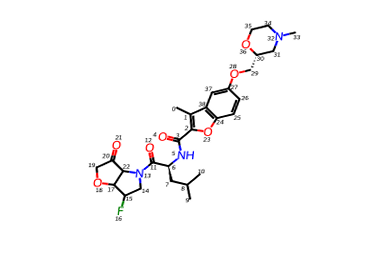 Cc1c(C(=O)N[C@@H](CC(C)C)C(=O)N2CC(F)C3OCC(=O)C32)oc2ccc(OC[C@H]3CN(C)CCO3)cc12